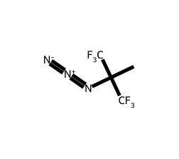 CC(N=[N+]=[N-])(C(F)(F)F)C(F)(F)F